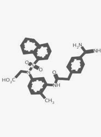 Cc1ccc(N(CC(=O)O)S(=O)(=O)c2cccc3ccccc23)cc1NC(=O)Cc1ccc(C(=N)N)cc1